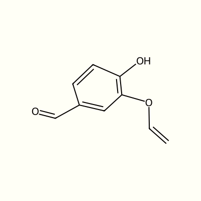 C=COc1cc(C=O)ccc1O